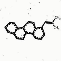 CC(C)=Cc1cccc2c1ccc1c3ccccc3ccc21